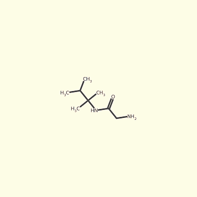 CC(C)C(C)(C)NC(=O)CN